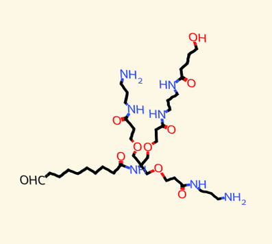 NCCCNC(=O)CCOCC(COCCC(=O)NCCCN)(COCCC(=O)NCCCNC(=O)CCCCO)NC(=O)CCCCCCCCC=O